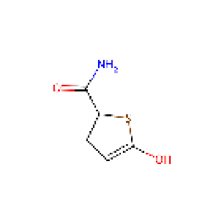 NC(=O)C1CC=C(O)S1